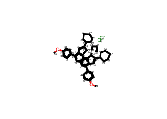 COc1ccc(-c2cccc3c2C=C(C2CCCCC2)[CH]3[Zr+2]2([CH]3C(C4CCCCC4)=Cc4c(-c5ccc(OC)cc5)cccc43)[CH2]C[CH2]2)cc1.[Cl-].[Cl-]